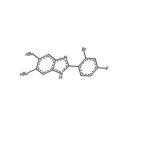 CCCCc1cc2nc(-c3ccc(F)cc3Br)[nH]c2cc1CCCC